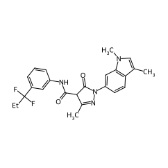 CCC(F)(F)c1cccc(NC(=O)C2C(=O)N(c3ccc4c(C)cn(C)c4c3)N=C2C)c1